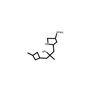 CCCCCCC1CNC(CC(C)(CCC)CC2CC(C)C2)C1